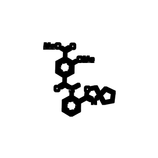 COC(=O)c1ccc(C(=O)N(C)c2ccccc2C2=NC3(CCCC3)CO2)cc1OC